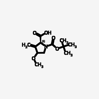 C=C1C(OC)CN(C(=O)OC(C)(C)C)[C@@H]1C(=O)O